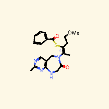 COCC/C(SC(=O)c1ccccc1)=C(\C)N1Cc2cnc(C)nc2NCC1=O